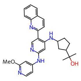 COc1cc(Nc2cc(NC3CCC(C(C)(C)O)C3)c(-c3ccc4ccccc4n3)cn2)ccn1